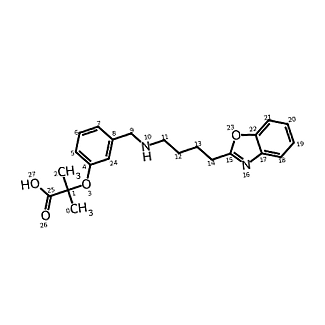 CC(C)(Oc1cccc(CNCCCCc2nc3ccccc3o2)c1)C(=O)O